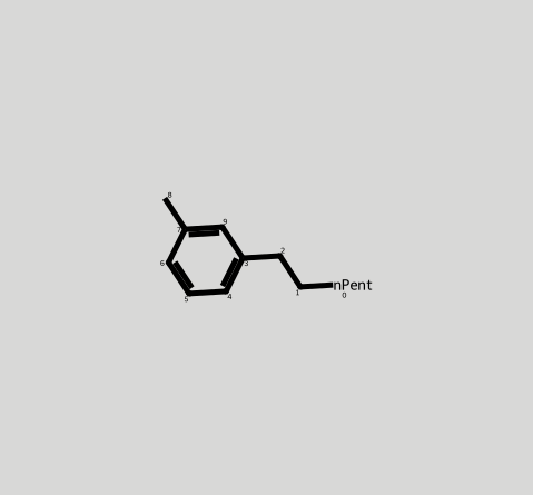 CCCCCCCc1cc[c]c(C)c1